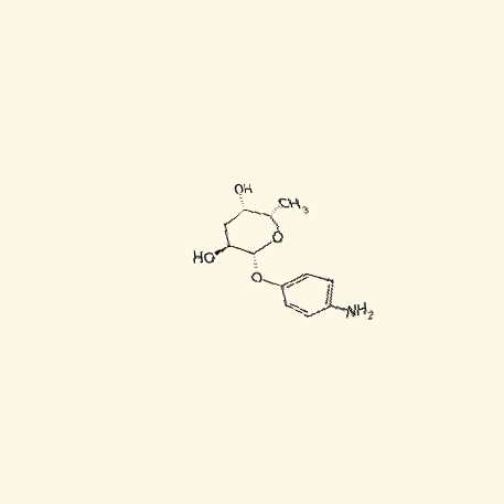 C[C@@H]1O[C@H](Oc2ccc(N)cc2)[C@@H](O)C[C@@H]1O